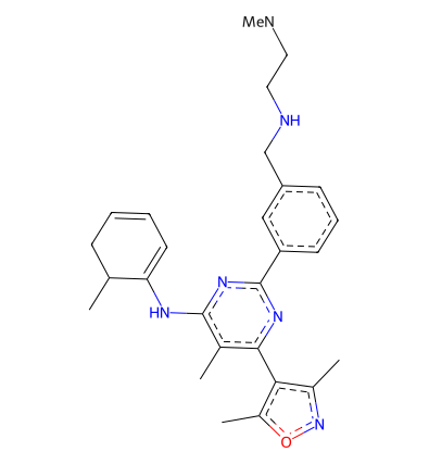 CNCCNCc1cccc(-c2nc(NC3=CC=CCC3C)c(C)c(-c3c(C)noc3C)n2)c1